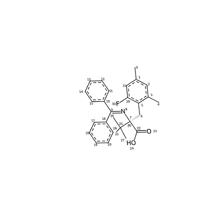 Cc1cc(C)c(C[C@](N=C(c2ccccc2)c2ccccc2)(C(=O)O)C(C)(C)C)c(F)c1